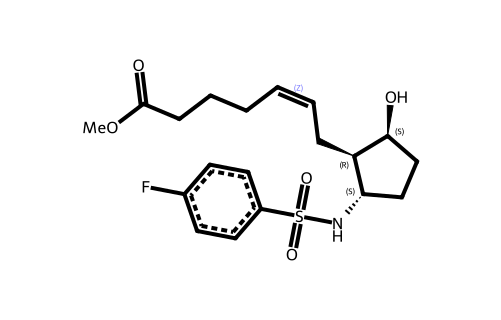 COC(=O)CCC/C=C\C[C@@H]1[C@@H](NS(=O)(=O)c2ccc(F)cc2)CC[C@@H]1O